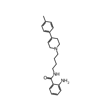 Cc1ccc(C2=CCN(CCCCNC(=O)c3ccccc3N)CC2)cc1